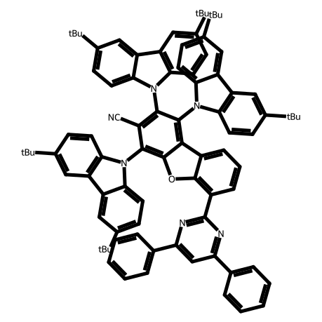 CC(C)(C)c1ccc2c(c1)c1cc(C(C)(C)C)ccc1n2-c1c(C#N)c(-n2c3ccc(C(C)(C)C)cc3c3cc(C(C)(C)C)ccc32)c2oc3c(-c4nc(-c5ccccc5)cc(-c5ccccc5)n4)cccc3c2c1-n1c2ccc(C(C)(C)C)cc2c2cc(C(C)(C)C)ccc21